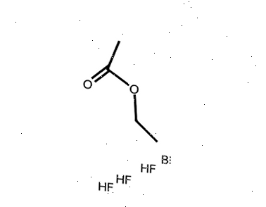 CCOC(C)=O.F.F.F.[B]